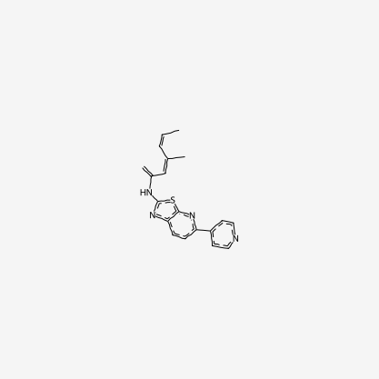 C=C(/C=C(C)\C=C/C)Nc1nc2ccc(-c3ccncc3)nc2s1